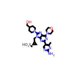 CS(=O)(=O)O.Cc1nc(N)ncc1-c1nc(N2CCOCC2)c2nc(N3CCC(CO)CC3)n(CC3CC3)c2n1